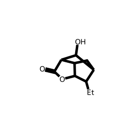 CCC1C2CC3C1OC(=O)C3C2O